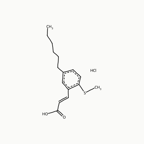 CCCCCCc1ccc(SC)c(C=CC(=O)O)c1.Cl